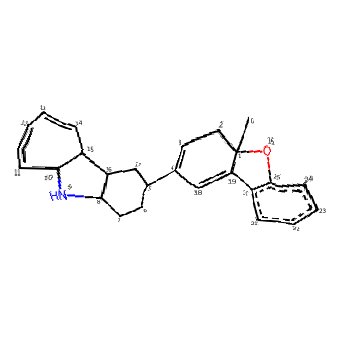 CC12CC=C(C3CCC4NC5C=CC=CC5C4C3)C=C1c1ccccc1O2